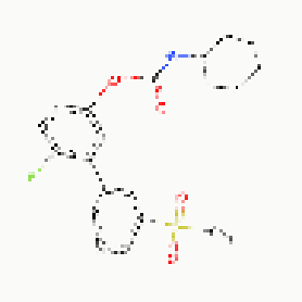 CS(=O)(=O)c1cccc(-c2cc(OC(=O)NC3CCCCC3)ccc2F)c1